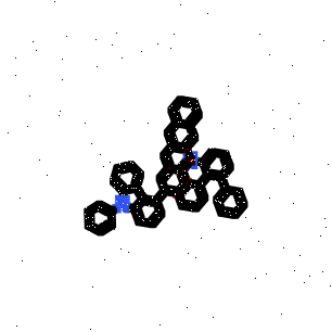 c1ccc(-c2ccccc2-c2c(-c3ccccc3)cccc2N(c2ccc(-c3cccc4c3c3ccccc3n4-c3ccccc3)cc2)c2ccc3ccccc3c2)cc1